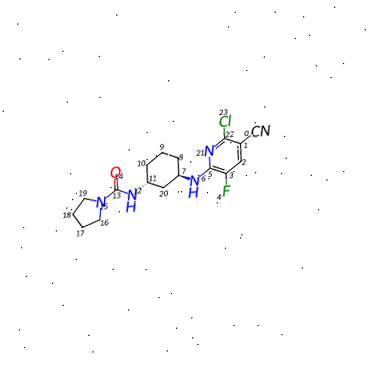 N#Cc1cc(F)c(N[C@@H]2CCC[C@@H](NC(=O)N3CCCC3)C2)nc1Cl